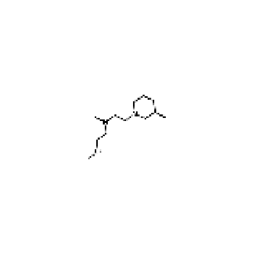 COCCN(C)CCN1CCC[C@@H](C)C1